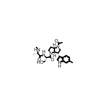 CN[C@@H](C)C(=O)N[C@@H](CO)C(=O)N1CC[C@@H]2[C@H]1[C@@H](c1c[nH]c3cc(C)ccc13)CN2C(C)=O